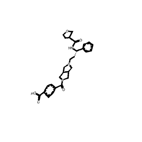 O=C(O)c1ccc(C(=O)N2CC3CN(CC[C@H](NC(=O)C4CCOC4)c4ccccc4)CC3C2)cc1